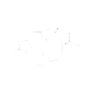 C=C1C(=O)O[C@H]2/C=C(\C)CC3C=C(CC/C=C(\C)CC[C@H]1C2)C(=O)O3